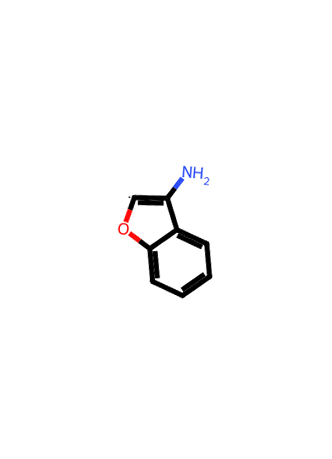 Nc1[c]oc2ccccc12